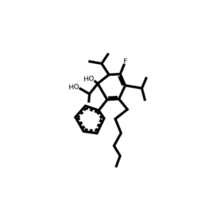 CCCCCCC1=C(c2ccccc2)C(O)(C(C)O)C(C(C)C)C(F)=C1C(C)C